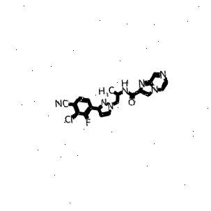 CC(Cn1ccc(-c2ccc(C#N)c(Cl)c2F)n1)NC(=O)c1cn2ccncc2n1